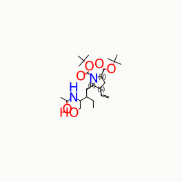 C=C[C@@H]1C[C@H](C(=O)OC(C)(C)C)N(C(=O)OC(C)(C)C)[C@@H]1CC(CC)C(CO)NC(C)=O